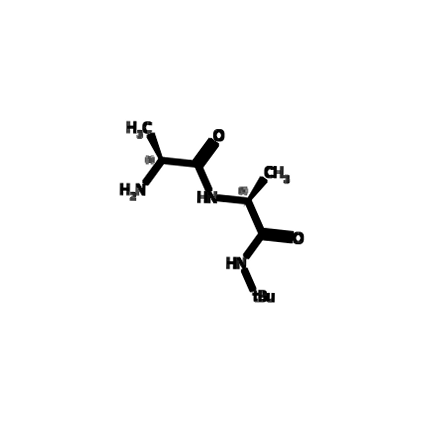 C[C@H](N)C(=O)N[C@@H](C)C(=O)NC(C)(C)C